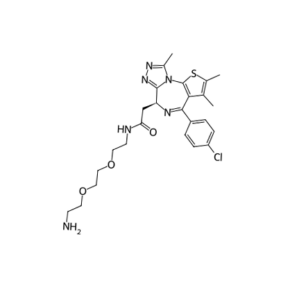 Cc1sc2c(c1C)C(c1ccc(Cl)cc1)=N[C@@H](CC(=O)NCCOCCOCCN)c1nnc(C)n1-2